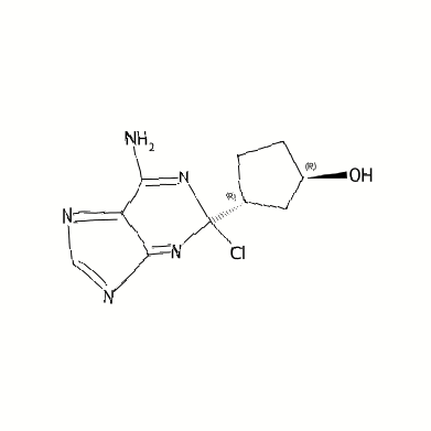 NC1=NC(Cl)([C@@H]2CC[C@@H](O)C2)N=C2N=CN=C12